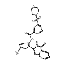 O=C(Nc1ccc(Br)cc1-c1nc2ccccc2c(=O)[nH]1)c1cccc(S(=O)(=O)N2CCOCC2)c1